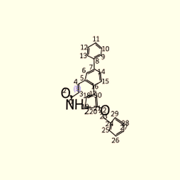 NC(=O)/C=C/c1cc(-c2ccccc2)ccc1-c1cccc(OCc2ccccc2)c1